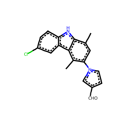 Cc1cc(-n2ccc(C=O)c2)c(C)c2c1[nH]c1ccc(Cl)cc12